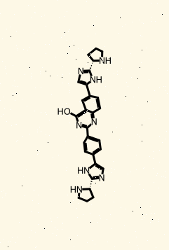 Oc1nc(-c2ccc(-c3cnc([C@@H]4CCCN4)[nH]3)cc2)nc2ccc(-c3cnc([C@@H]4CCCN4)[nH]3)cc12